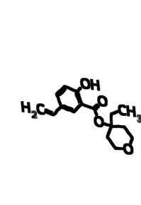 C=Cc1ccc(O)c(C(=O)OC2(CC)CCOCC2)c1